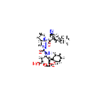 CC(C)(C)C=C(C#N)C(=O)N1CCC[C@@H]1CNC(=O)N[C@H](CB(O)O)c1coc2ccccc12